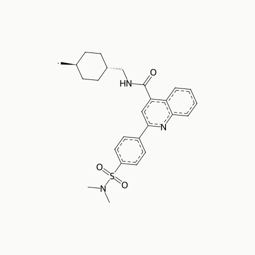 [CH2][C@H]1CC[C@H](CNC(=O)c2cc(-c3ccc(S(=O)(=O)N(C)C)cc3)nc3ccccc23)CC1